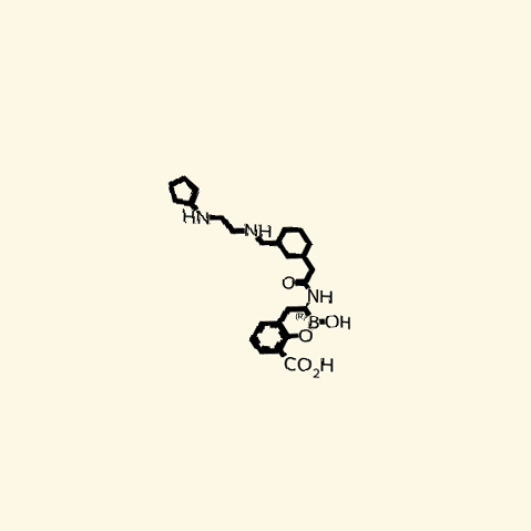 O=C(CC1CCCC(CNCCNC2CCCC2)C1)N[C@H]1Cc2cccc(C(=O)O)c2OB1O